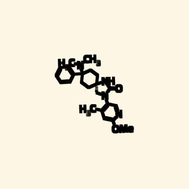 COc1cc(C)c(N2C[C@]3(CC[C@](c4ccccc4)(N(C)C)CC3)NC2=O)cn1